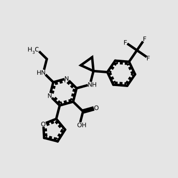 CCNc1nc(NC2(c3cccc(C(F)(F)F)c3)CC2)c(C(=O)O)c(-c2ccco2)n1